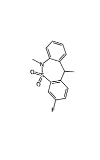 CC1c2ccccc2N(C)S(=O)(=O)c2cc(F)ccc21